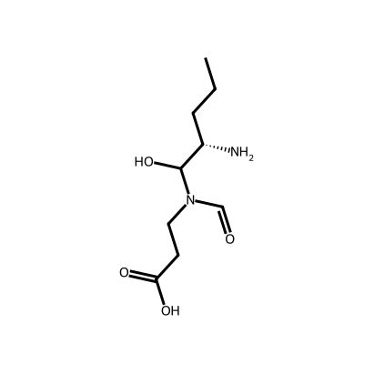 CCC[C@H](N)C(O)N(C=O)CCC(=O)O